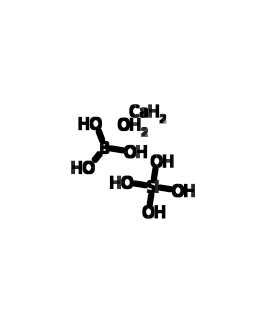 O.OB(O)O.O[Si](O)(O)O.[CaH2]